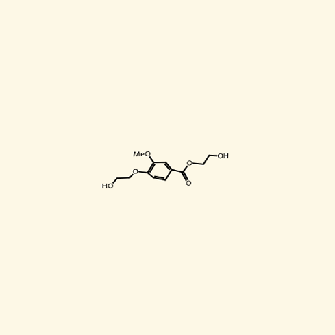 COc1cc(C(=O)OCCO)ccc1OCCO